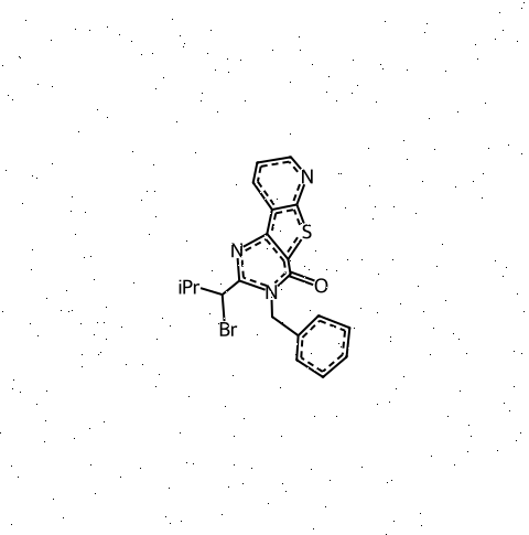 CC(C)C(Br)c1nc2c(sc3ncccc32)c(=O)n1Cc1ccccc1